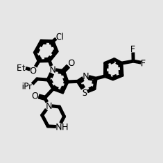 CCOc1ccc(Cl)cc1-n1c(CC(C)C)c(C(=O)N2CCNCC2)cc(-c2nc(-c3ccc(C(F)F)cc3)cs2)c1=O